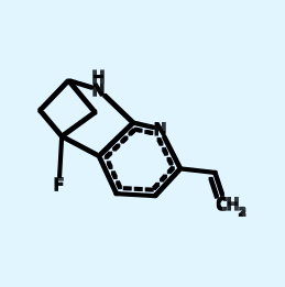 C=Cc1ccc2c(n1)NC1CC2(F)C1